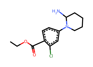 CCOC(=O)c1ccc(N2CCCCC2N)cc1Cl